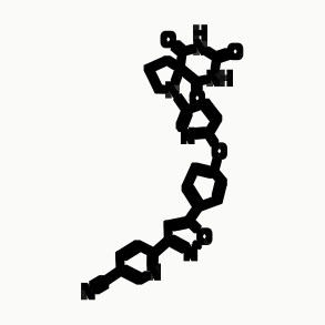 N#Cc1ccc(-c2cc(-c3ccc(Oc4ccc(N5CCCC56C(=O)NC(=O)NC6=O)cn4)cc3)on2)nc1